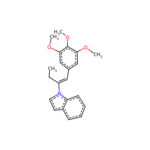 CCC(=Cc1cc(OC)c(OC)c(OC)c1)n1ccc2ccccc21